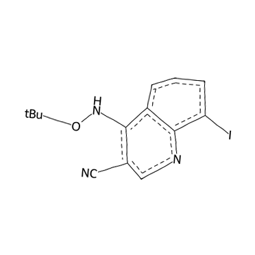 CC(C)(C)ONc1c(C#N)cnc2c(I)cccc12